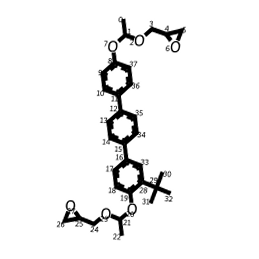 CC(OCC1CO1)Oc1ccc(-c2ccc(-c3ccc(OC(C)OCC4CO4)c(C(C)(C)C)c3)cc2)cc1